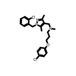 Cc1nn(Cc2ccccc2Cl)c(C)c1CN(C)CCCOc1ccc(Cl)cc1